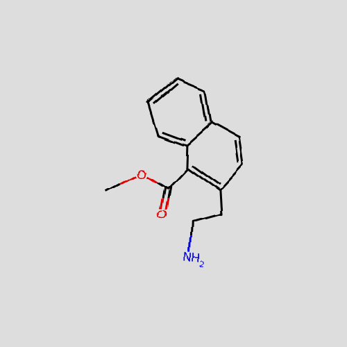 COC(=O)c1c(CCN)ccc2ccccc12